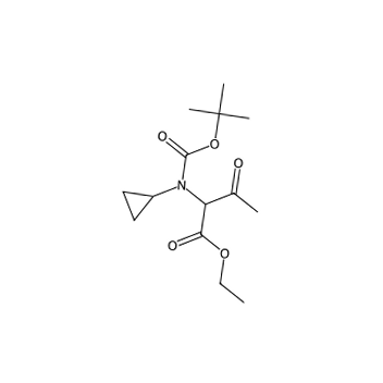 CCOC(=O)C(C(C)=O)N(C(=O)OC(C)(C)C)C1CC1